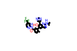 Cc1ccc(C(=O)Nc2cc(C(F)(F)F)ccn2)cc1-c1cc2cnc(NC(C)C)nc2c(-c2cncnc2)c1O